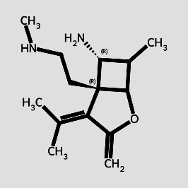 C=C1OC2C(C)[C@@H](N)[C@@]2(CCNC)C1=C(C)C